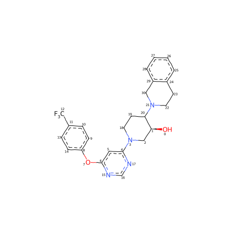 O[C@H]1CN(c2cc(Oc3ccc(C(F)(F)F)cc3)ncn2)CCC1N1CCc2ccccc2C1